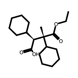 CCOC(=O)[C@](C)(C1CCCCC1)[C@@H](C(=O)O)C1CCCCC1